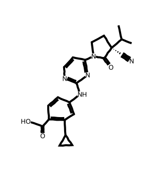 CC(C)[C@]1(C#N)CCN(c2ccnc(Nc3ccc(C(=O)O)c(C4CC4)c3)n2)C1=O